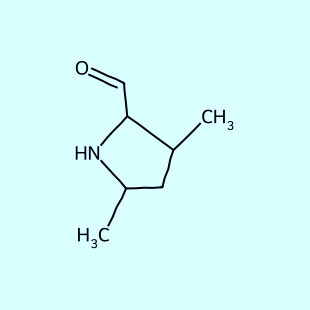 CC1CC(C)C(C=O)N1